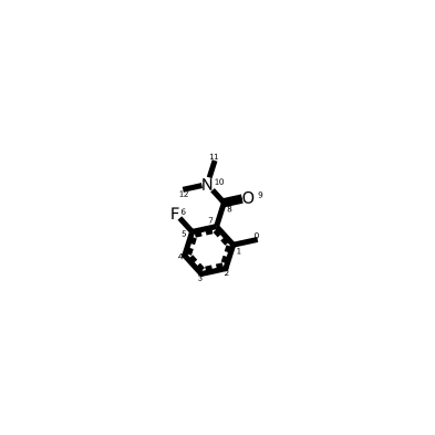 Cc1cccc(F)c1C(=O)N(C)C